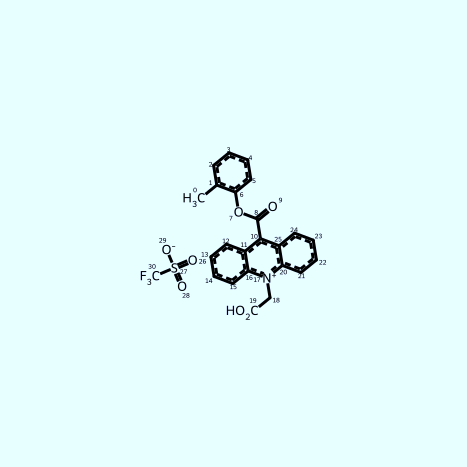 Cc1ccccc1OC(=O)c1c2ccccc2[n+](CC(=O)O)c2ccccc12.O=S(=O)([O-])C(F)(F)F